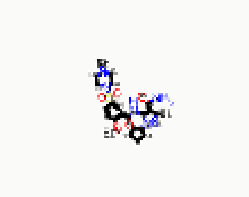 CCOc1ccc(S(=O)(=O)N2CCN(CC)CC2)cc1C(=O)Nc1c(C(N)=O)c(CC)nn1C1CCCC1